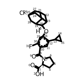 O=C(O)[C@@H]1CCCN1C(=O)c1cc(C2CC2)c(O[C@H]2C3CC4CC2C[C@](Cl)(C4)C3)cc1F